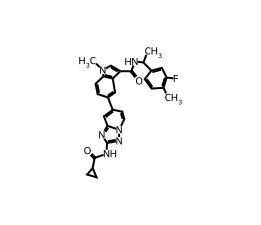 Cc1ccc(C(C)NC(=O)c2cn(C)c3ccc(-c4ccn5nc(NC(=O)C6CC6)nc5c4)cc23)cc1F